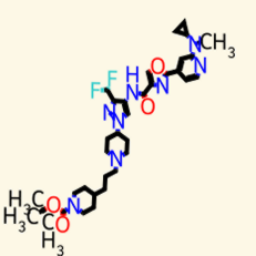 CN(c1cc(-c2nc(C(=O)Nc3cn(C4CCN(CCCC5CCN(C(=O)OC(C)(C)C)CC5)CC4)nc3C(F)F)co2)ccn1)C1CC1